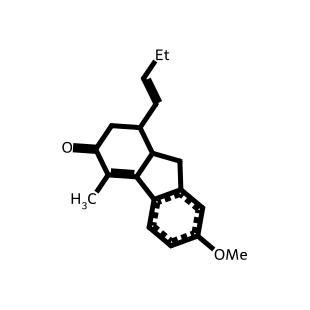 CCC=CC1CC(=O)C(C)=C2c3ccc(OC)cc3CC21